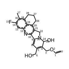 C=COCC1=C(CO)C=C2c3nc4cc(F)c(C)c5c4c(c3CN2C1O)CCC5